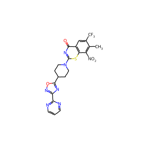 Cc1c(C(F)(F)F)cc2c(=O)nc(N3CCC(c4nc(-c5ncccn5)no4)CC3)sc2c1[N+](=O)[O-]